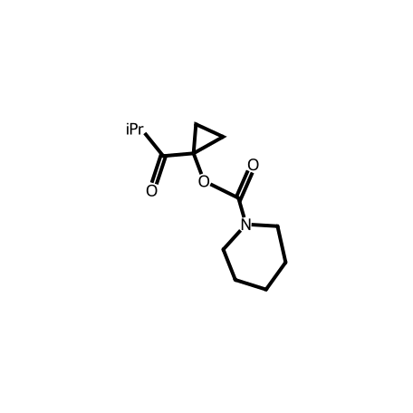 CC(C)C(=O)C1(OC(=O)N2CCCCC2)CC1